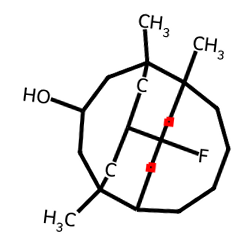 CC12CC(O)CC(C)(CC(F)C1)C1(C)CCCCC2CCCC1